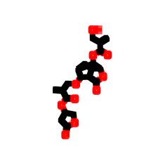 C=C(COC1C2CC3C(OC(=O)C31)C2OC(=O)C(=C)CO)C(=O)OC1COC(=O)C1